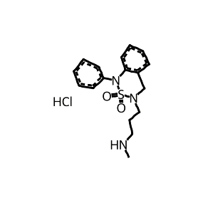 CNCCCN1Cc2ccccc2N(c2ccccc2)S1(=O)=O.Cl